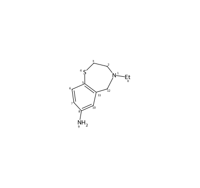 CCN1CCSc2ccc(N)cc2C1